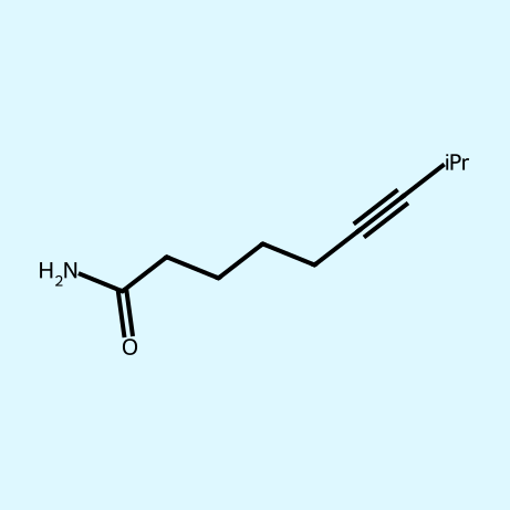 CC(C)C#CCCCCC(N)=O